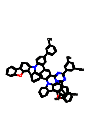 CC(C)(C)c1cc(-c2nc(-c3cc(C(C)(C)C)cc(C(C)(C)C)c3)nc(-c3cc(-c4cc(-c5cccc(C#N)c5)ccc4-n4c5ccccc5c5c6oc7ccccc7c6ccc54)ccc3-n3c4ccccc4c4c5oc6ccccc6c5ccc43)n2)cc(C(C)(C)C)c1